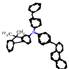 CC1(C)c2ccccc2-c2ccc(N(c3ccc(-c4ccccc4)cc3)c3ccc(-c4cccc5c4ccc4ccccc45)cc3)cc21